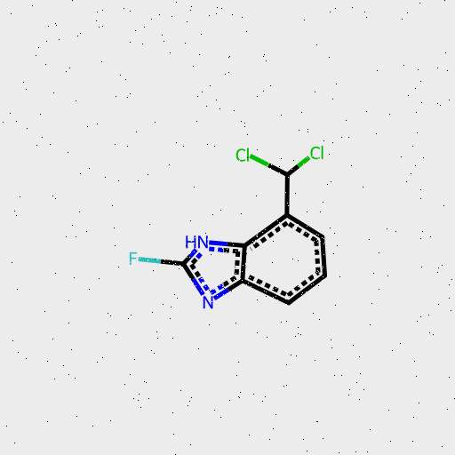 Fc1nc2cccc(C(Cl)Cl)c2[nH]1